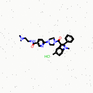 Cc1ccc2c(c1)c(C(=O)N1CCN(c3ccc(C(=O)NCCN(C)C)cn3)CC1)c(-c1ccccc1)n2C.Cl